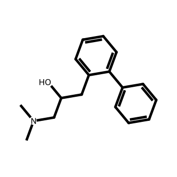 CN(C)CC(O)Cc1ccccc1-c1ccccc1